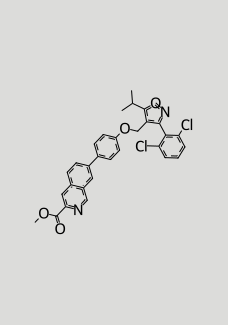 COC(=O)c1cc2ccc(-c3ccc(OCc4c(-c5c(Cl)cccc5Cl)noc4C(C)C)cc3)cc2cn1